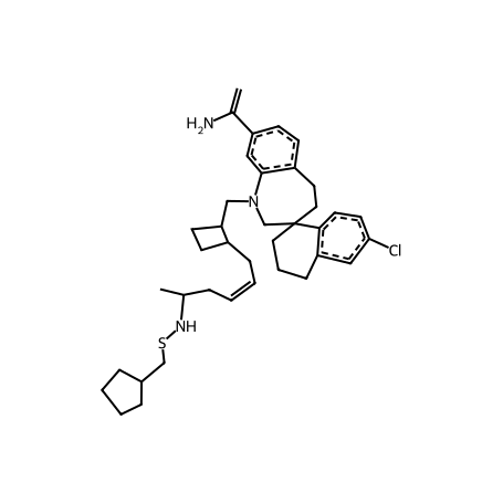 C=C(N)c1ccc2c(c1)N(CC1CCC1C/C=C\CC(C)NSCC1CCCC1)CC1(CCCc3cc(Cl)ccc31)CC2